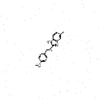 COc1ccc(CSc2nc3cc(C)ccc3[nH]2)cc1